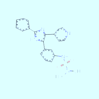 CN(C)S(=O)(=O)Nc1cccc(-c2[nH]c(-c3ccccc3)nc2-c2ccncc2)c1